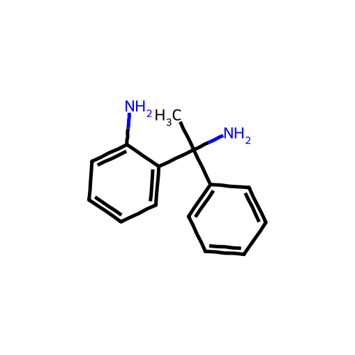 CC(N)(c1ccccc1)c1ccccc1N